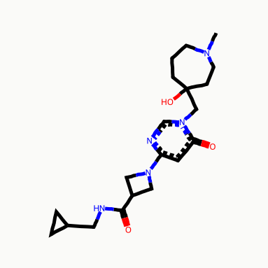 CN1CCCC(O)(Cn2cnc(N3CC(C(=O)NCC4CC4)C3)cc2=O)CC1